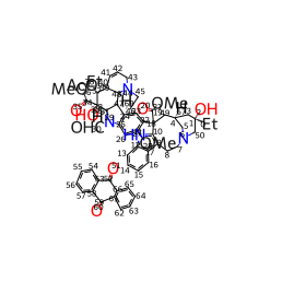 CC[C@]1(O)C[C@H]2CN(CCc3c([nH]c4ccccc34)[C@@](C(=O)OC)(c3cc4c(cc3OC)N(C=O)[C@H]3[C@@](O)(C(=O)OC)[C@H](OC(C)=O)[C@]5(CC)C=CCN6CC[C@]43[C@@H]65)C2)C1.O=C1c2ccccc2C(=O)c2ccccc21